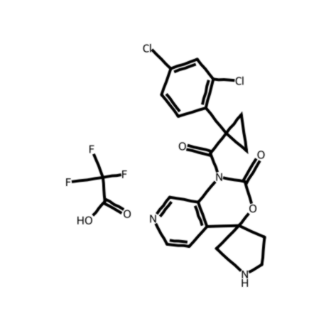 O=C(O)C(F)(F)F.O=C1OC2(CCNC2)c2ccncc2N1C(=O)C1(c2ccc(Cl)cc2Cl)CC1